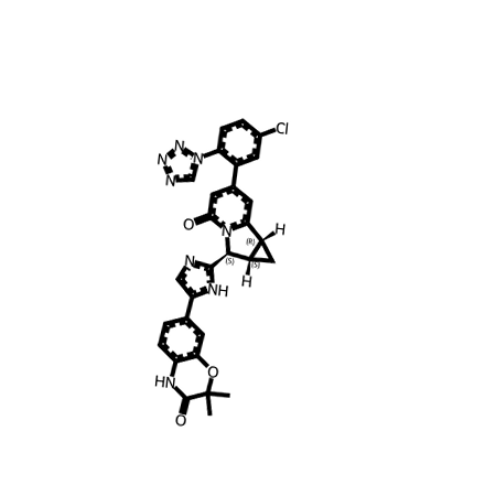 CC1(C)Oc2cc(-c3cnc([C@@H]4[C@H]5C[C@H]5c5cc(-c6cc(Cl)ccc6-n6cnnn6)cc(=O)n54)[nH]3)ccc2NC1=O